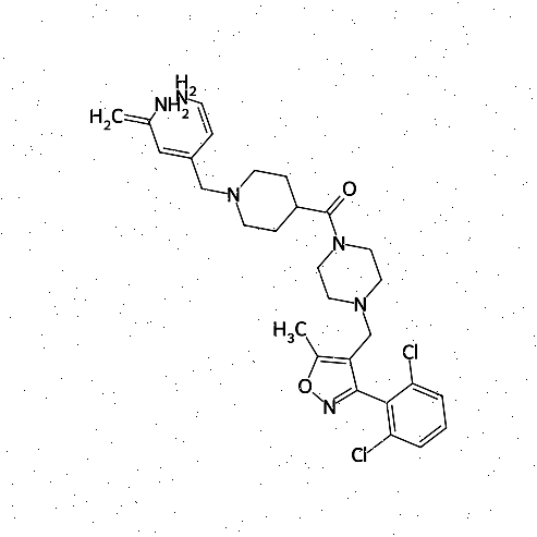 C=C(N)/C=C(\C=C/N)CN1CCC(C(=O)N2CCN(Cc3c(-c4c(Cl)cccc4Cl)noc3C)CC2)CC1